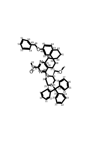 COC[C@H]1CN(C(c2ccccc2)(c2ccccc2)c2ccccc2)CCN1c1nc([S+](C)[O-])nc2c1CCC1(CCCc3ccc(OCc4ccccc4)cc31)C2